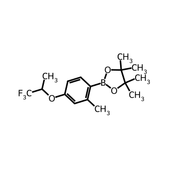 Cc1cc(OC(C)C(F)(F)F)ccc1B1OC(C)(C)C(C)(C)O1